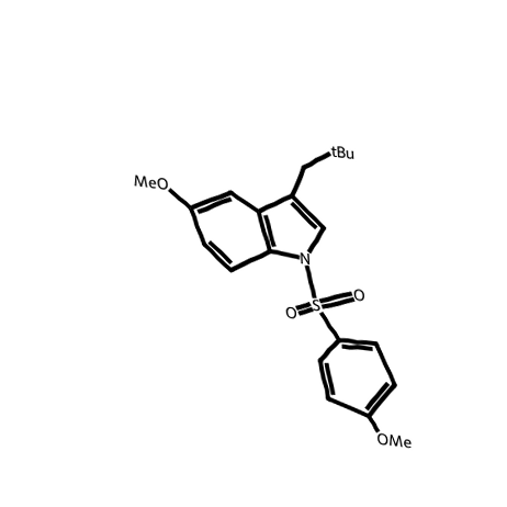 COc1ccc(S(=O)(=O)n2cc(CC(C)(C)C)c3cc(OC)ccc32)cc1